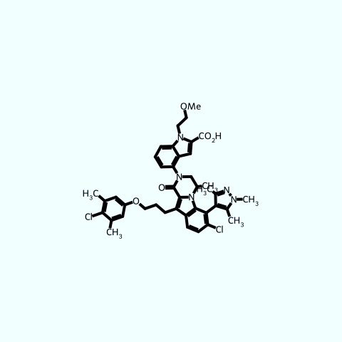 COCCn1c(C(=O)O)cc2c(N3CC(C)n4c(c(CCCOc5cc(C)c(Cl)c(C)c5)c5ccc(Cl)c(-c6c(C)nn(C)c6C)c54)C3=O)cccc21